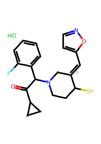 Cl.O=C(C1CC1)C(c1ccccc1F)N1CCC(S)/C(=C/c2ccno2)C1